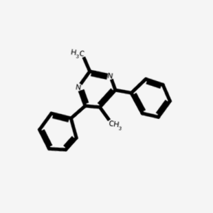 Cc1nc(-c2ccccc2)c(C)c(-c2ccccc2)n1